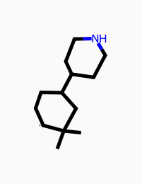 CC1(C)[CH]CCC(C2CCNCC2)C1